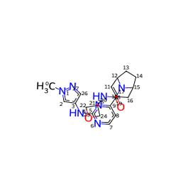 Cn1cc(Nc2nccc(C3=CC4CCC(C3)N4C(=O)NC3COC3)n2)cn1